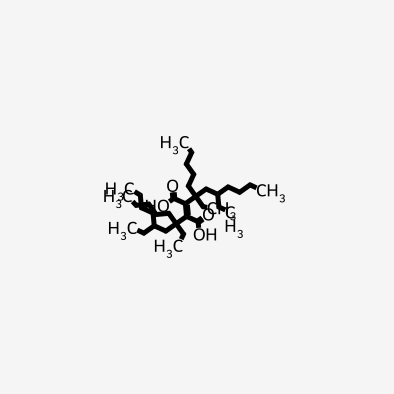 CCCCCC(CC)(CC(CC)CCCC)C(C(=O)O)=C(C(=O)O)C(CC)(CCCCC)CC(CC)CCCC